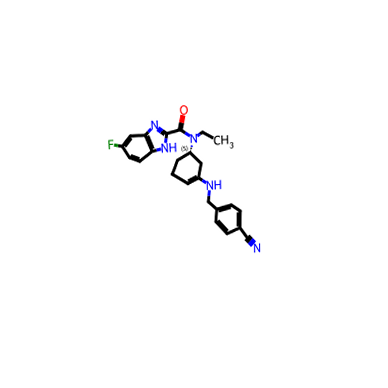 CCN(C(=O)c1nc2cc(F)ccc2[nH]1)[C@H]1CCC=C(NCc2ccc(C#N)cc2)C1